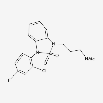 CNCCCN1c2ccccc2N(c2ccc(F)cc2Cl)S1(=O)=O